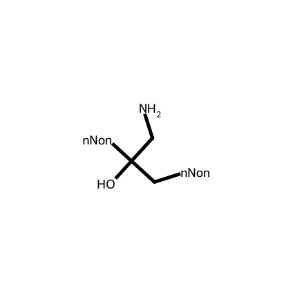 CCCCCCCCCCC(O)(CN)CCCCCCCCC